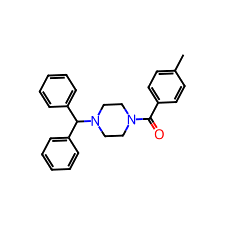 Cc1ccc(C(=O)N2CCN(C(c3ccccc3)c3ccccc3)CC2)cc1